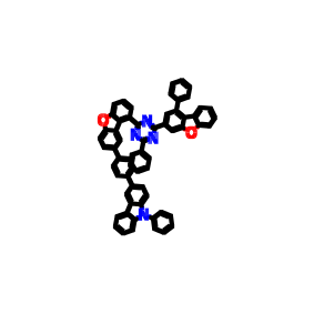 c1ccc(-c2nc(-c3cc(-c4ccccc4)c4c(c3)oc3ccccc34)nc(-c3cccc4oc5ccc(-c6ccc(-c7ccc8c(c7)c7ccccc7n8-c7ccccc7)cc6)cc5c34)n2)cc1